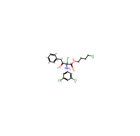 Clc1cccc(Cl)c1.NC(F)(C(=O)Cc1ccccc1)C(=O)OCCCCCl